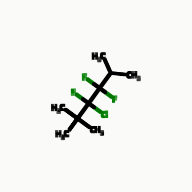 CC(C)C(F)(F)C(F)(Cl)C(C)(C)C